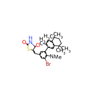 CNc1c(Br)cc(C=C2SC(=O)NC2=O)cc1-c1cc2c(cc1C)C(C)(C)CCC2(C)C